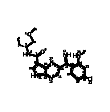 CC[C@H](COC)NC(=O)c1c[nH]c2ncc(C(=N)c3ccc(Cl)cc3NC)nc12